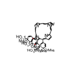 COC1(S(=O)(=O)O)C=CC(c2c(C3=CCC(OC)(S(=O)(=O)O)C=C3)c3c(C4=CCC(OC)(S(=O)(=O)O)C=C4)c4nc(cc5ccc(cc6nc(cc2n3C2=CCC(OC)(S(=O)(=O)O)C=C2)C=C6)[nH]5)C=C4)=CC1